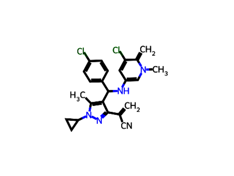 C=C(C#N)c1nn(C2CC2)c(C)c1C(NC1=CN(C)C(=C)C(Cl)=C1)c1ccc(Cl)cc1